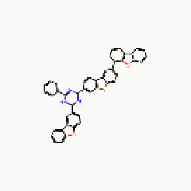 C1=CC2OC3=C(C=CCC3c3ccc4sc5cc(C6N=C(c7ccccc7)NC(c7ccc8oc9ccccc9c8c7)N6)ccc5c4c3)C2C=C1